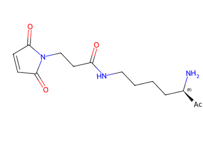 CC(=O)[C@H](N)CCCCNC(=O)CCN1C(=O)C=CC1=O